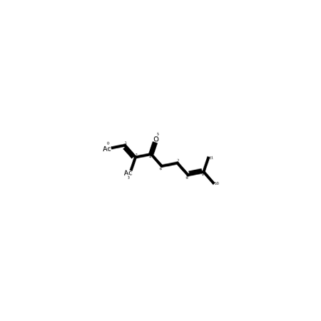 CC(=O)/C=C(\C(C)=O)C(=O)CCC=C(C)C